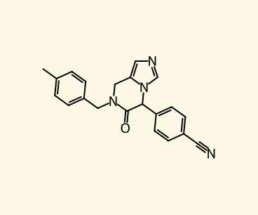 Cc1ccc(CN2Cc3cncn3C(c3ccc(C#N)cc3)C2=O)cc1